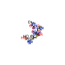 CCN1CCN(C(=O)NC(C(=O)N[C@]2(NO)C(=O)N3C(C(=O)O)=C(CSc4nnnn4CCO)CS[C@@H]32)c2csnn2)C(=O)C1=O